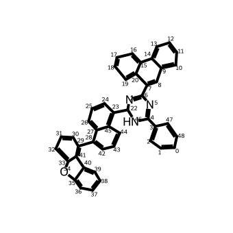 c1ccc(C2=NC(c3cc4ccccc4c4ccccc34)=NC(c3cccc4c(-c5cccc6oc7ccccc7c56)cccc34)N2)cc1